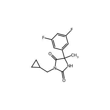 CC1(c2cc(F)cc(F)c2)NC(=O)N(CC2CC2)C1=O